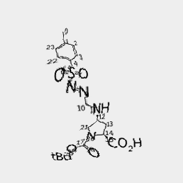 Cc1ccc(S(=O)(=O)N=NCN[C@H]2C[C@@H](C(=O)O)N(C(=O)OC(C)(C)C)C2)cc1